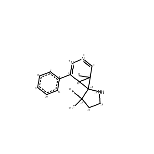 CC12C=NN=C(c3ccccc3)C1C21NCCC1(F)F